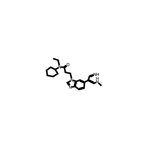 CCN(C(=O)CCn1cnc2ccc(/C(C=N)=C/NC)cc21)C1CCCCC1